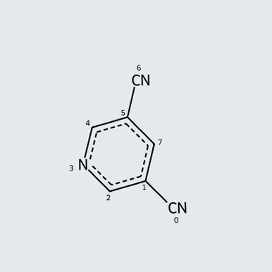 N#Cc1cncc(C#N)c1